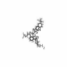 CN(C)CC[C@@H](NC(=O)c1nc2cc3c(nc2s1)CC[C@H](C(C)(C)C)C3)c1cccc(C(=O)N2CC(N)C2)c1